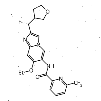 CCOc1cc2nc([C@H](F)C3CCOC3)cn2cc1NC(=O)c1cccc(C(F)(F)F)n1